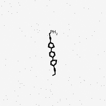 CCC#Cc1ccc(-c2ccc(-c3ccc(C#CCP)cc3)cc2)cc1